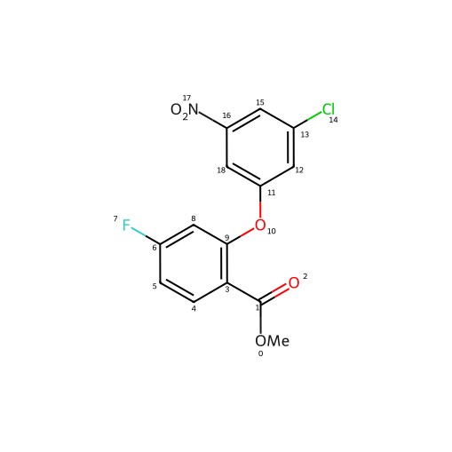 COC(=O)c1ccc(F)cc1Oc1cc(Cl)cc([N+](=O)[O-])c1